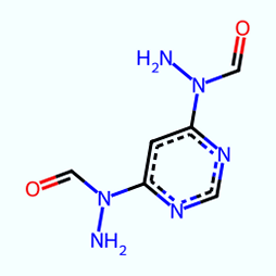 NN(C=O)c1cc(N(N)C=O)ncn1